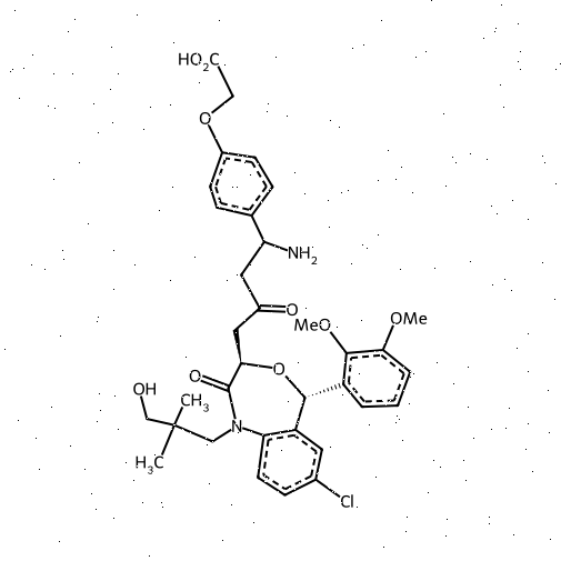 COc1cccc([C@H]2O[C@H](CC(=O)CC(N)c3ccc(OCC(=O)O)cc3)C(=O)N(CC(C)(C)CO)c3ccc(Cl)cc32)c1OC